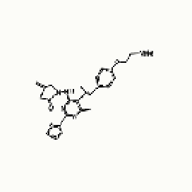 C=C1CC(=O)N(Nc2nc(-c3cccs3)nc(C)c2/C(C)=C/c2ccc(OCCNC)cc2)C1